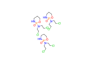 O=P1(N(CCCl)CCCl)NCCCO1.O=P1(N(CCCl)CCCl)NCCCO1.O=P1(N(CCCl)CCCl)NCCCO1